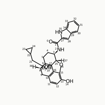 O=C(N[C@@H]1CC[C@@]2(O)[C@H]3Cc4ccc(O)c5c4[C@@]2(CCN3CC2CC2)[C@H]1O5)c1cc2ccccc2[nH]1